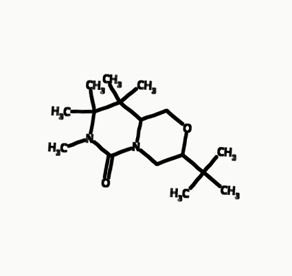 CN1C(=O)N2CC(C(C)(C)C)OCC2C(C)(C)C1(C)C